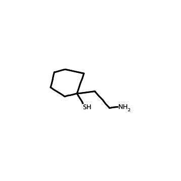 NCCC1(S)CCCCC1